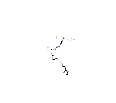 CCN(C/C=C/C#CC(C)(C)OC)Cc1ncc(COC/C=C/c2ccsc2)o1